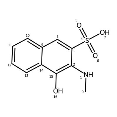 CNc1c(S(=O)(=O)O)cc2ccccc2c1O